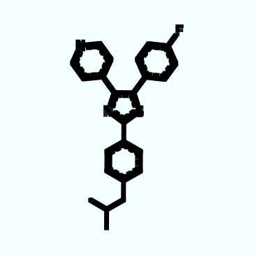 CC(C)Cc1ccc(-c2nc(-c3ccncc3)c(-c3ccc(F)cc3)s2)cc1